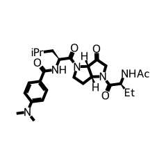 CC[C@H](NC(C)=O)C(=O)N1CC(=O)[C@@H]2[C@H]1CCN2C(=O)[C@H](CC(C)C)NC(=O)c1ccc(N(C)C)cc1